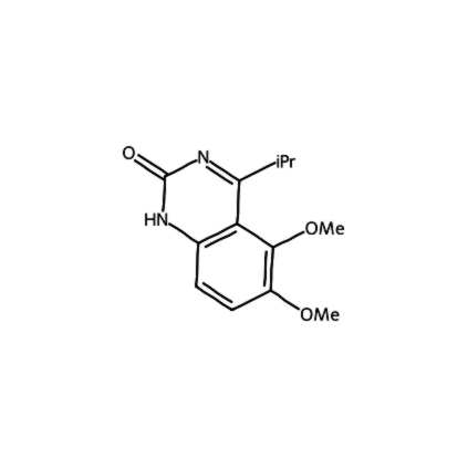 COc1ccc2[nH]c(=O)nc(C(C)C)c2c1OC